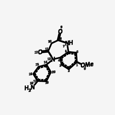 COc1ccc2c(c1)NC(=O)CC(=O)N2c1ccc(N)cc1